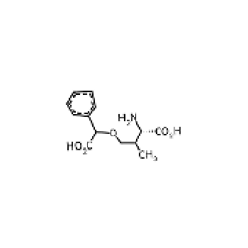 CC(COC(C(=O)O)c1ccccc1)[C@H](N)C(=O)O